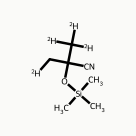 [2H]CC(C#N)(O[Si](C)(C)C)C([2H])([2H])[2H]